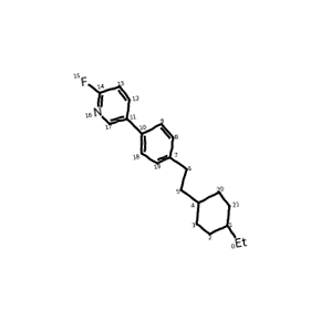 CCC1CCC(CCc2ccc(-c3ccc(F)nc3)cc2)CC1